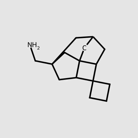 NCC12CC3CC4C5(CCC5)C(C1)C4(C3)C2